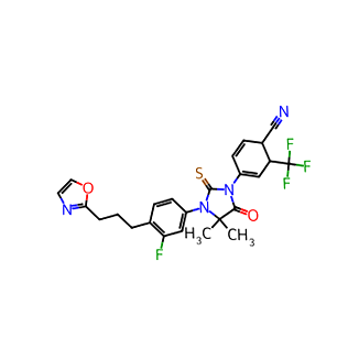 CC1(C)C(=O)N(C2=CC(C(F)(F)F)C(C#N)C=C2)C(=S)N1c1ccc(CCCc2ncco2)c(F)c1